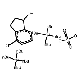 CCCC[N+](CCCC)(CCCC)CCCC.CCCC[N+](CCCC)(CCCC)CCCC.O=S(=O)([O-])[O-].OC1CCc2c(Cl)ccnc21